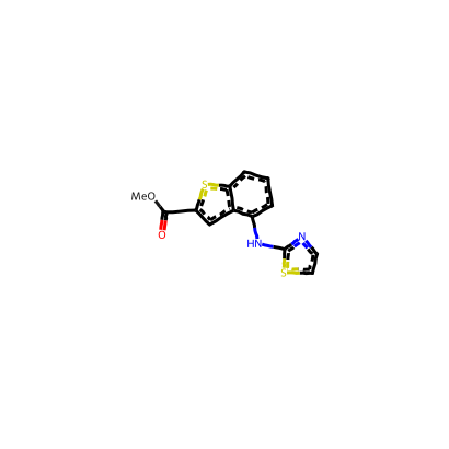 COC(=O)c1cc2c(Nc3nccs3)cccc2s1